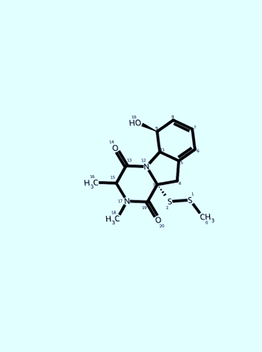 CSS[C@@]12CC3=CC=C[C@H](O)C3N1C(=O)C(C)N(C)C2=O